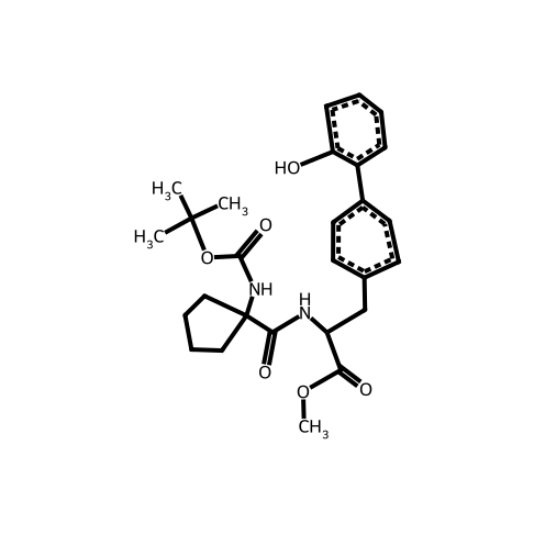 COC(=O)C(Cc1ccc(-c2ccccc2O)cc1)NC(=O)C1(NC(=O)OC(C)(C)C)CCCC1